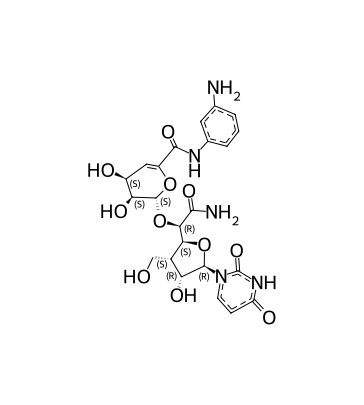 NC(=O)[C@H](O[C@H]1OC(C(=O)Nc2cccc(N)c2)=C[C@H](O)[C@@H]1O)[C@H]1O[C@@H](n2ccc(=O)[nH]c2=O)[C@H](O)[C@@H]1CO